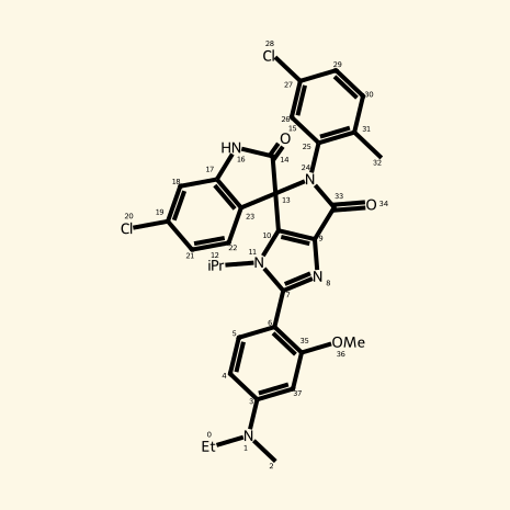 CCN(C)c1ccc(-c2nc3c(n2C(C)C)C2(C(=O)Nc4cc(Cl)ccc42)N(c2cc(Cl)ccc2C)C3=O)c(OC)c1